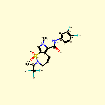 C[C@@H](N1CC=Cc2c(cn(C)c2C(=O)Nc2ccc(F)c(F)c2)S1(=O)=O)C(F)(F)F